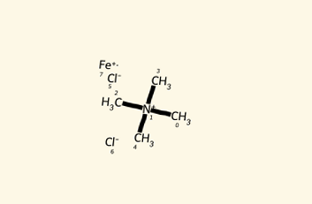 C[N+](C)(C)C.[Cl-].[Cl-].[Fe+]